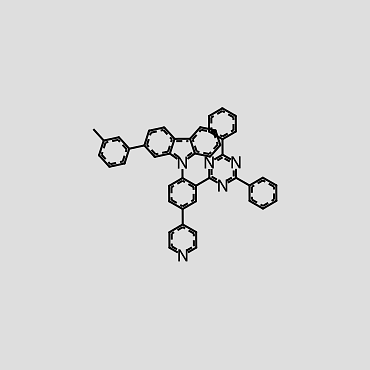 Cc1cccc(-c2ccc3c4ccccc4n(-c4ccc(-c5ccncc5)cc4-c4nc(-c5ccccc5)nc(-c5ccccc5)n4)c3c2)c1